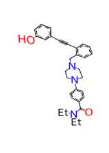 CCN(CC)C(=O)c1ccc(N2CCN(Cc3ccccc3C#Cc3cccc(O)c3)CC2)cc1